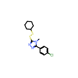 Cn1c(SSC2CCCCC2)nnc1-c1ccc(Cl)cc1